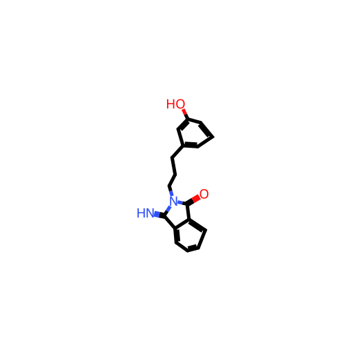 N=C1c2ccccc2C(=O)N1CCCc1cccc(O)c1